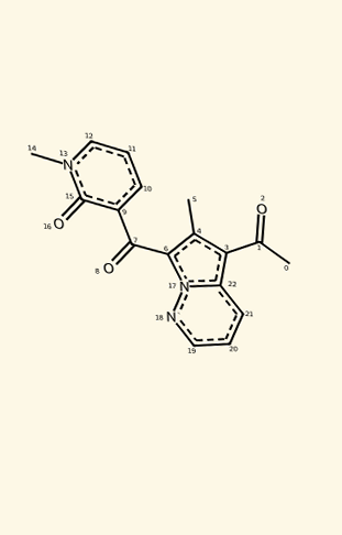 CC(=O)c1c(C)c(C(=O)c2cccn(C)c2=O)n2ncccc12